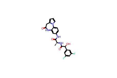 C[C@H](NC(=O)C(O)c1cc(F)cc(F)c1)C(=O)Nc1ccc2c(c1)NC(=O)Cc1cccn1-2